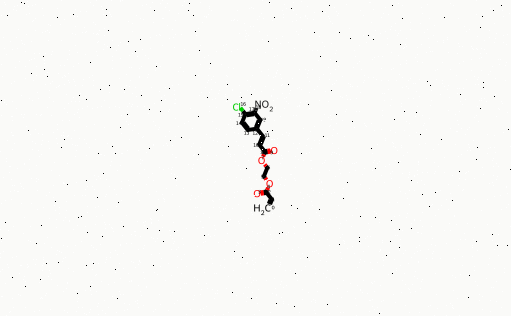 C=CC(=O)OCCOC(=O)/C=C/c1ccc(Cl)c([N+](=O)[O-])c1